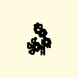 COc1cc(Nc2nccc(-c3ccc4c(c3)CCC(C)(C)O4)n2)cc(OC)c1OC